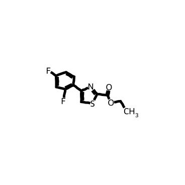 CCOC(=O)c1nc(-c2ccc(F)cc2F)cs1